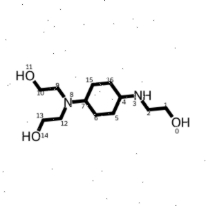 OCCNC1CCC(N(CCO)CCO)CC1